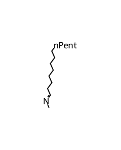 CCCCCCCCCCCC/C=N/C